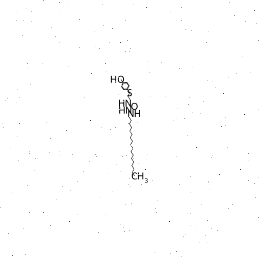 CCCCCCCCCCCCCCCCCCNNC(=O)NCCSc1ccc(O)cc1